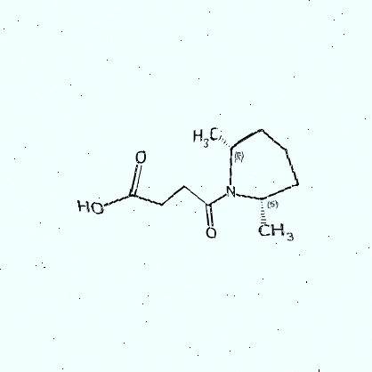 C[C@@H]1CCC[C@H](C)N1C(=O)CCC(=O)O